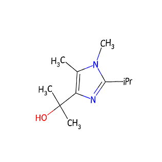 Cc1c(C(C)(C)O)nc(C(C)C)n1C